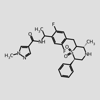 CC(NC(=O)c1cnn(C)c1)c1cc(F)c(CC2[C@H](C)NC[C@@H](c3ccccc3)S2(=O)=O)cc1F